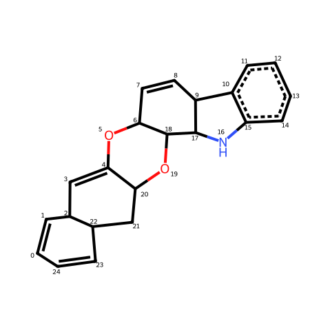 C1=CC2C=C3OC4C=CC5c6ccccc6NC5C4OC3CC2C=C1